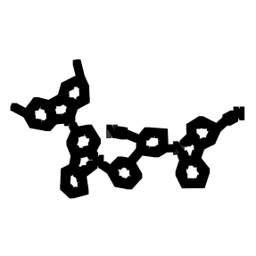 Cc1ccc2c(c1)c1cc(C)ccc1n2-c1ccc2c(c1)c1ccccc1n2-c1cccc(-c2cc(-n3c4ccccc4c4cc(C#N)ccc43)ccc2C#N)c1